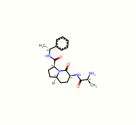 C[C@H](N)C(=O)N[C@H]1CC[C@H]2CC[C@@H](C(=O)N[C@H](C)c3ccccc3)N2C1=O